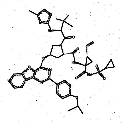 C=C[C@@H]1C[C@]1(NC(=O)[C@@H]1C[C@@H](Oc2nc(-c3ccc(OC(C)C)cc3)nc3c2oc2ccccc23)CN1C(=O)[C@@H](Nc1nc(C)cs1)C(C)(C)C)C(=O)NS(=O)(=O)C1CC1